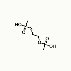 CP(=O)(O)OCCSP(C)(=O)O